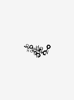 C=CC(=O)N[C@@H]1CCC[C@@H](NC(=O)c2sc3nccc4c3c2NC(=O)N4c2ccnc(-c3ccccc3)c2)C1